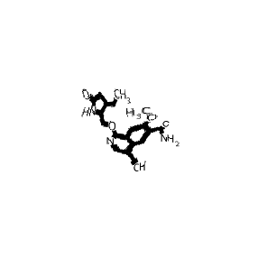 C#Cc1cnc(OCC2NC(=O)CC2CC)c2cc(OC)c(C(N)=O)cc12